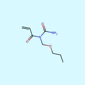 C=CC(=O)N(COCCC)C(N)=O